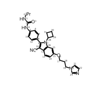 CC(C)NC(=O)Nc1ccc(-c2c(C#N)c3ccc(OCCCn4ccnc4)cc3n2C2CCC2)cc1